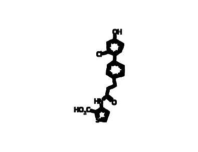 O=C(CCc1ccc(-c2ccc(O)cc2Cl)cc1)Nc1ccsc1C(=O)O